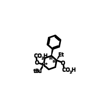 CC[C@]1(OC(=O)O)CC[N+](OC(=O)O)(C(C)(C)C)C[C@H]1c1ccccc1